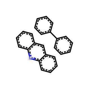 c1ccc(-c2ccccc2)cc1.c1ccc2nc3ccccc3cc2c1